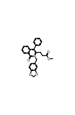 COC(=O)CCc1c(-c2ccccc2)c2ccccc2c(=O)n1Cc1ccc2c(c1)OCO2